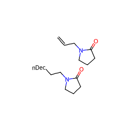 C=CCN1CCCC1=O.CCCCCCCCCCCCN1CCCC1=O